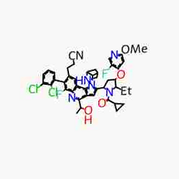 CCC1C(Oc2cc(OC)ncc2F)CC(c2cc3c(C(C)O)nc4c(F)c(-c5cccc(Cl)c5Cl)c(CCC#N)cc4c3n2C2C3CNC2C3)N1C(=O)C1CC1